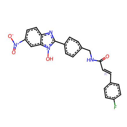 O=C(/C=C/c1ccc(F)cc1)NCc1ccc(-c2nc3ccc([N+](=O)[O-])cc3n2O)cc1